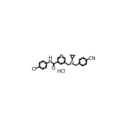 Cl.N#Cc1ccc(CN(Cc2cncc(C(=O)Nc3ccc(Cl)cc3)c2)C2CC2)cc1